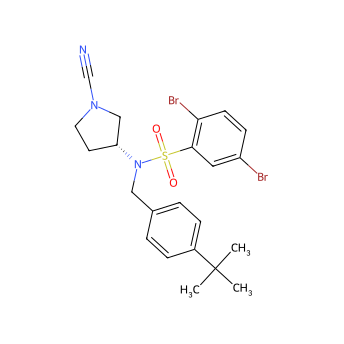 CC(C)(C)c1ccc(CN([C@@H]2CCN(C#N)C2)S(=O)(=O)c2cc(Br)ccc2Br)cc1